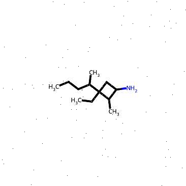 CCCC(C)C1(CC)CC(N)C1C